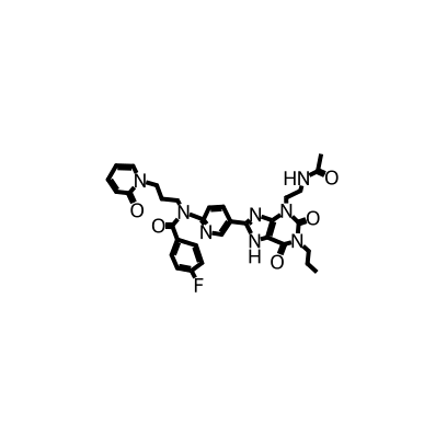 CCCn1c(=O)c2[nH]c(-c3ccc(N(CCCn4ccccc4=O)C(=O)c4ccc(F)cc4)nc3)nc2n(CCNC(C)=O)c1=O